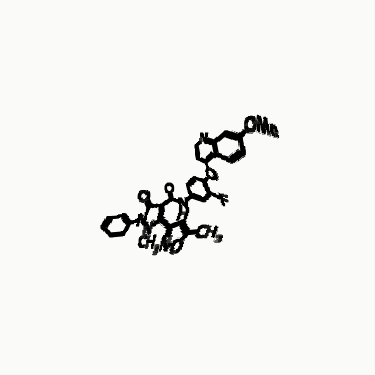 COc1ccc2c(Oc3ccc(NC(=O)c4c(-c5cc(C)on5)n(C)n(-c5ccccc5)c4=O)cc3F)ccnc2c1